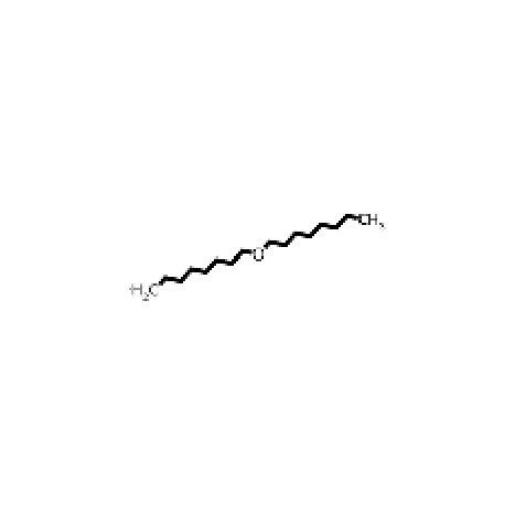 [CH2]CCCCCCCOCCCCCCCC